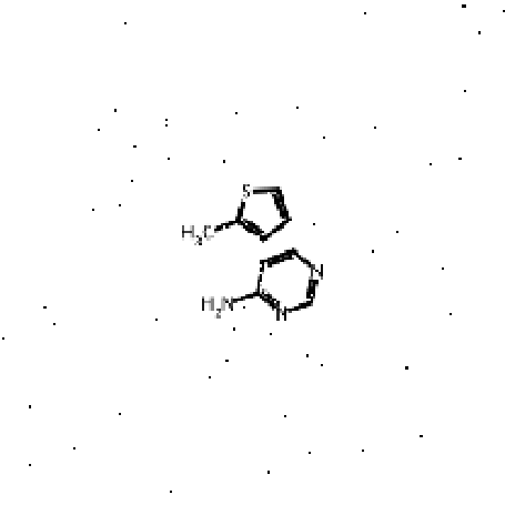 Cc1cccs1.Nc1ccncn1